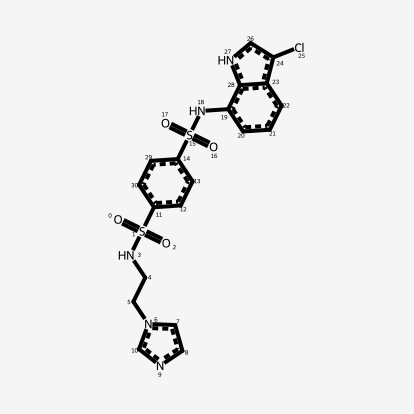 O=S(=O)(NCCn1ccnc1)c1ccc(S(=O)(=O)Nc2cccc3c(Cl)c[nH]c23)cc1